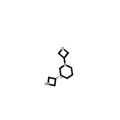 C1C[C@H](C2CNC2)CN(C2COC2)C1